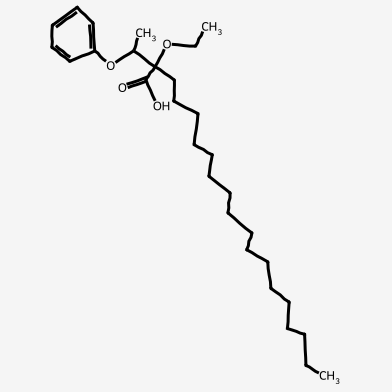 CCCCCCCCCCCCCCCCCC(OCC)(C(=O)O)C(C)Oc1ccccc1